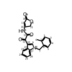 Cc1ccccc1Cn1cc(C(=O)C(=O)NC2=CC(=O)OC2)c2ccccc21